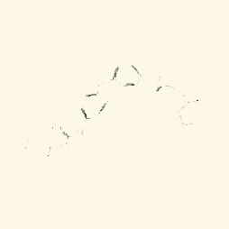 O=C(Nc1ccc(Cc2ccc(NC(=O)OC3CCCCC3)cc2)cc1)OC1CCCCC1